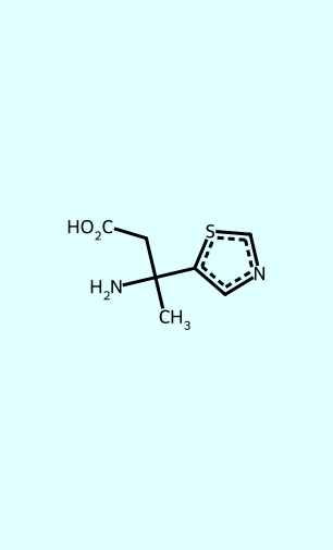 CC(N)(CC(=O)O)c1cncs1